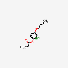 CCCCOc1ccc(OC(=O)CC)cc1.Cl